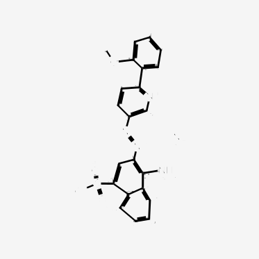 COc1ccccc1-c1ccc(N=Nc2cc(S(=O)(=O)[O-])c3ccccc3c2N)cn1.[Na+]